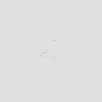 N[C@@H](Oc1ccc2[nH]nc(-c3cnn(C4CCNCC4)c3)c2c1)c1cc(F)cc(F)c1